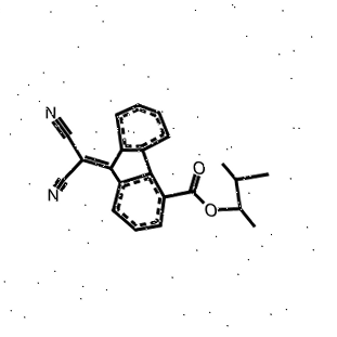 CC(C)C(C)OC(=O)c1cccc2c1-c1ccccc1C2=C(C#N)C#N